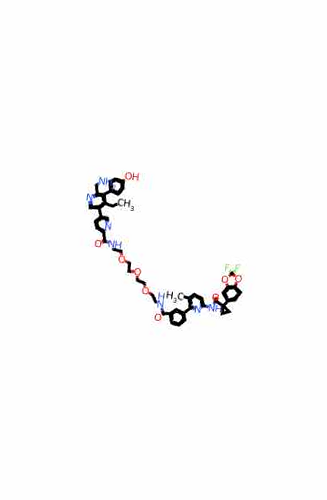 CCc1c(-c2ccc(C(=O)NCCOCCOCCOCCNC(=O)c3cccc(-c4nc(NC(=O)C5(c6ccc7c(c6)OC(F)(F)O7)CC5)ccc4C)c3)nc2)cnc(CN)c1-c1ccc(O)cc1